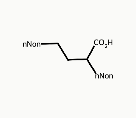 CCCCCCCCCCCC(CCCCCCCCC)C(=O)O